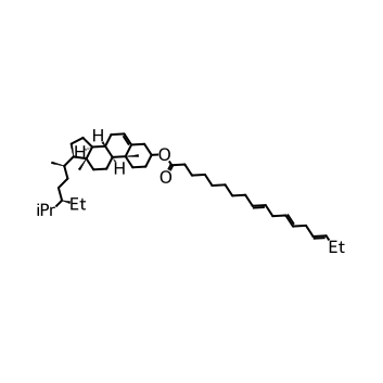 CCC=CCC=CCC=CCCCCCCCC(=O)OC1CC[C@@]2(C)C(=CC[C@H]3[C@@H]4CC[C@H]([C@H](C)CC[C@@H](CC)C(C)C)[C@@]4(C)CC[C@@H]32)C1